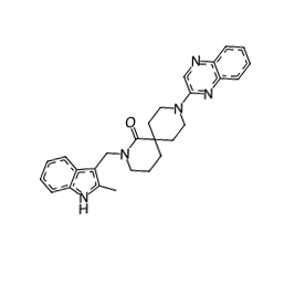 Cc1[nH]c2ccccc2c1CN1CCCC2(CCN(c3cnc4ccccc4n3)CC2)C1=O